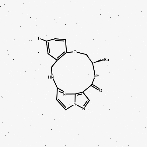 CCCC[C@@H]1COc2ccc(F)cc2CNc2ccn3ncc(c3n2)C(=O)N1